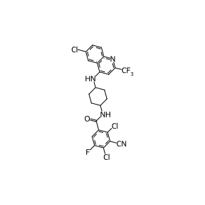 N#Cc1c(Cl)c(F)cc(C(=O)NC2CCC(Nc3cc(C(F)(F)F)nc4ccc(Cl)cc34)CC2)c1Cl